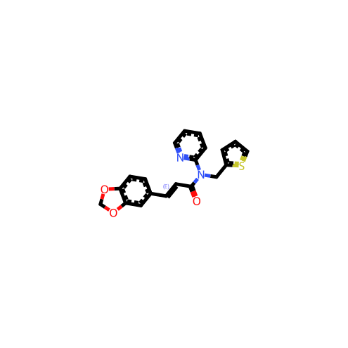 O=C(/C=C/c1ccc2c(c1)OCO2)N(Cc1cccs1)c1ccccn1